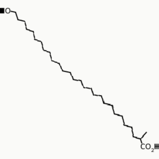 CC(CCCCCCCCCCCCCCCCCCCCCCCCCCO)C(=O)O